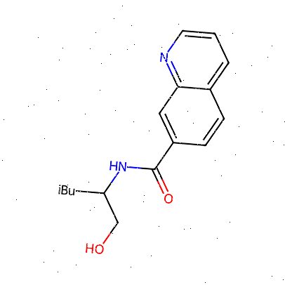 CCC(C)C(CO)NC(=O)c1ccc2cccnc2c1